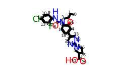 CCC1CN(C(=O)Nc2ccc(Cl)cc2F)c2ccc(-c3cnc(N4CCC(C(=O)O)C4)nc3)cc2O1